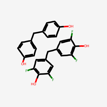 Oc1c(F)cc(Cc2cc(F)c(O)c(F)c2)cc1F.Oc1ccc(Cc2ccc(O)cc2)cc1